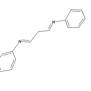 C(/C/C=N/c1ccccc1)=N\c1ccccc1